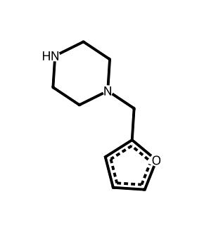 c1coc(CN2CCNCC2)c1